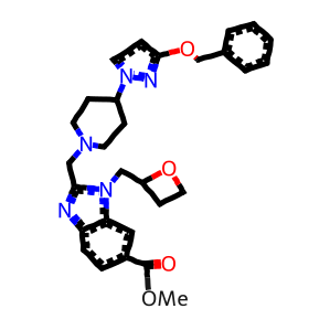 COC(=O)c1ccc2nc(CN3CCC(n4ccc(OCc5ccccc5)n4)CC3)n(CC3CCO3)c2c1